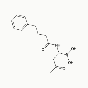 CC(=O)C[C@H](NC(=O)CCCc1ccccc1)B(O)O